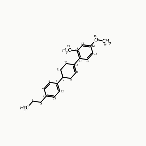 CCCc1ccc(C2CC=C(c3ccc(OC)cc3C)CC2)cc1